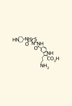 NCCCc1c(C(=O)O)[nH]c2ccc(C(=O)Nc3nc(C(=O)NC4CCNCC4)cs3)cc12